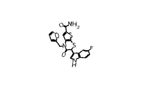 NC(=O)c1cc2c(s1)SC(c1c[nH]c3ccc(F)cc13)C(=O)N2Cc1ccco1